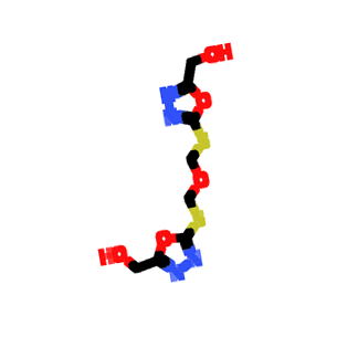 OCc1nnc(SCOCSc2nnc(CO)o2)o1